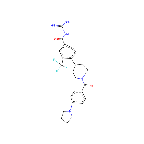 N=C(N)NC(=O)c1ccc(C2CCN(C(=O)c3ccc(N4CCCC4)cc3)CC2)c(C(F)(F)F)c1